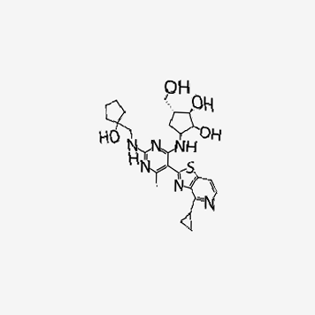 Cc1nc(NCC2(O)CCCC2)nc(NC2C[C@H](CO)[C@@H](O)[C@H]2O)c1-c1nc2c(C3CC3)nccc2s1